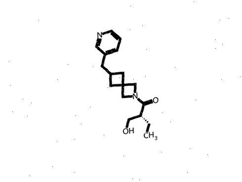 CC[C@H](CO)C(=O)N1CC2(CC(Cc3cccnc3)C2)C1